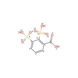 O=C(O)c1[c]ccc(S(=O)(=O)O)c1S(=O)(=O)O